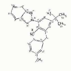 Cc1cccc(Cc2cc(C(C)(C)C)cc(-n3nc4ccccc4n3)c2O)c1